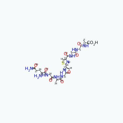 CC(NC(=O)CNC(=O)CNC(=O)c1csc(-c2coc(CNC(=O)C(C)NC(=O)CNC(=O)C(N)CCC(N)=O)n2)n1)C(=O)O